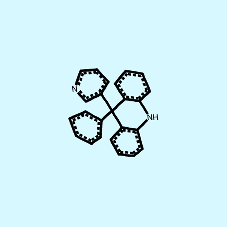 c1ccc(C2(c3cccnc3)c3ccccc3Nc3ccccc32)cc1